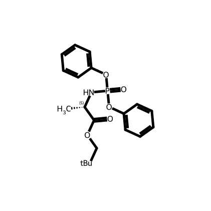 C[C@H](NP(=O)(Oc1ccccc1)Oc1ccccc1)C(=O)OCC(C)(C)C